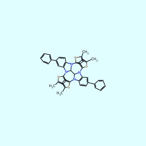 Cc1ccc(N2c3ccc(-c4ccccc4)cc3N(c3ccc(C)s3)C2C2N(c3ccc(C)s3)c3ccc(-c4ccccc4)cc3N2c2ccc(C)s2)s1